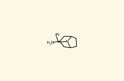 CC(C)CN1C2CCC1CC(N)C2